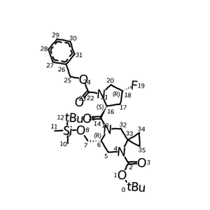 CC(C)(C)OC(=O)N1C[C@H](CO[Si](C)(C)C(C)(C)C)N(C(=O)[C@@H]2C[C@@H](F)CN2C(=O)OCc2ccccc2)CC12CC2